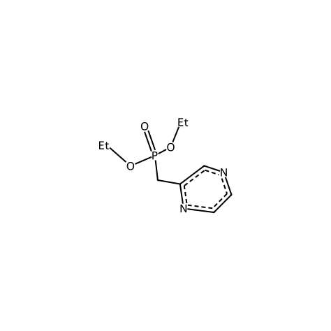 CCOP(=O)(Cc1cnccn1)OCC